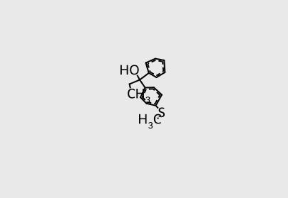 CCC(O)(c1ccccc1)c1ccc(SC)cc1